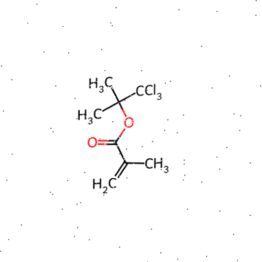 C=C(C)C(=O)OC(C)(C)C(Cl)(Cl)Cl